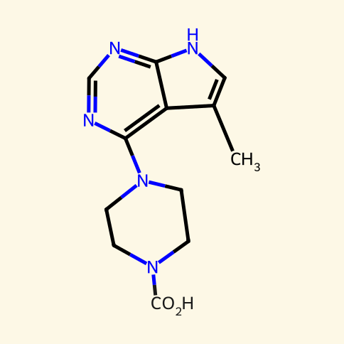 Cc1c[nH]c2ncnc(N3CCN(C(=O)O)CC3)c12